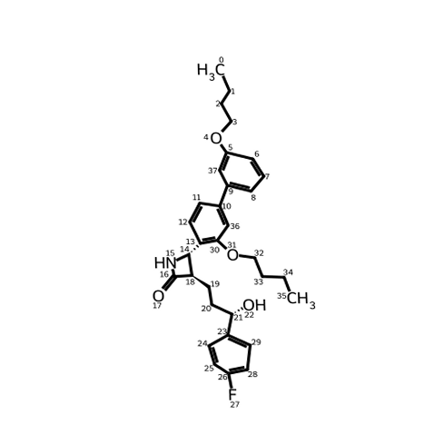 CCCCOc1cccc(-c2ccc([C@H]3NC(=O)[C@@H]3CC[C@H](O)c3ccc(F)cc3)c(OCCCC)c2)c1